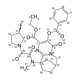 CCOC(=O)c1nc2n(c(=O)c1OC(=O)c1ccccc1)CC1CCC2(N(C)C(=O)C(=O)N2CC[C@@H](F)C2)CC1